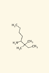 CCCCC(N)C(C)(C)CC